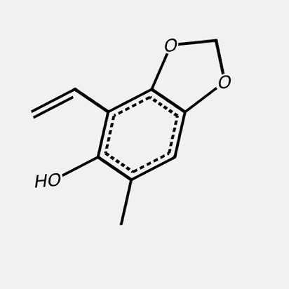 C=Cc1c(O)c(C)cc2c1OCO2